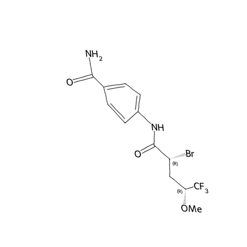 CO[C@H](C[C@@H](Br)C(=O)Nc1ccc(C(N)=O)cc1)C(F)(F)F